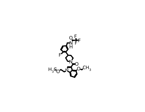 CCOc1cccc2c1c(C(=O)N1CCC(c3cc(CNC(=O)C(F)(F)F)ccc3F)CC1)cn2CCOC